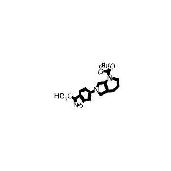 CC(C)(C)OC(=O)N1CCCC2CN(c3ccc4c(C(=O)O)nsc4c3)CC21